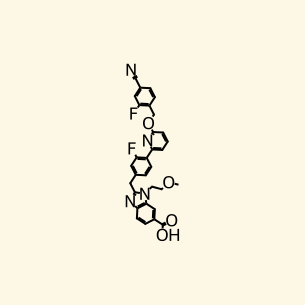 COCCn1c(Cc2ccc(-c3cccc(OCc4ccc(C#N)cc4F)n3)c(F)c2)nc2ccc(C(=O)O)cc21